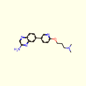 CN(C)CCCOc1ccc(-c2ccc3ncc(N)nc3c2)cn1